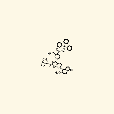 Cc1ccc2[nH]ncc2c1N1CCc2c(nc(OCC3CCCN3C)nc2N2CCN(C(=O)C3C[N@@]3C(c3ccccc3)(c3ccccc3)c3ccccc3)C(CC#N)C2)C1